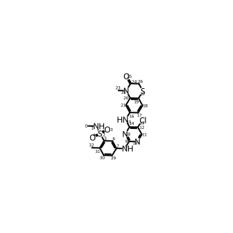 CNS(=O)(=O)c1cc(Nc2ncc(Cl)c(Nc3ccc4c(c3)N(C)C(=O)CS4)n2)ccc1C